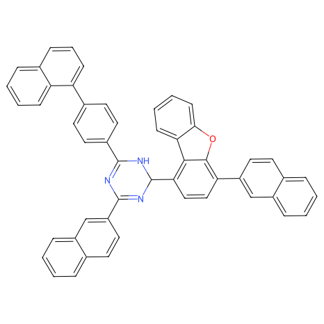 c1ccc2cc(C3=NC(c4ccc(-c5ccc6ccccc6c5)c5oc6ccccc6c45)NC(c4ccc(-c5cccc6ccccc56)cc4)=N3)ccc2c1